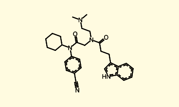 CN(C)CCN(CC(=O)N(c1ccc(C#N)cc1)C1CCCCC1)C(=O)CCc1c[nH]c2ccccc12